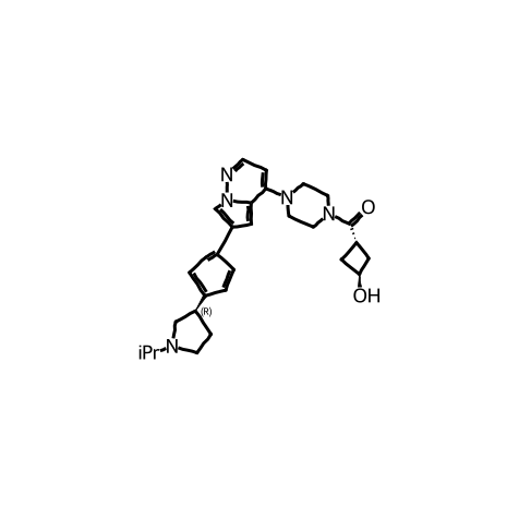 CC(C)N1CC[C@H](c2ccc(-c3cc4c(N5CCN(C(=O)[C@H]6C[C@H](O)C6)CC5)ccnn4c3)cc2)C1